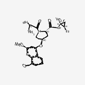 CC[C@@H]1C[C@]1(NC(=O)[C@@H]1C[C@@H](Oc2cc(OC)nc3c(Cl)cccc23)CN1C(=O)[C@@H](N)C(C)(C)C)C(=O)O